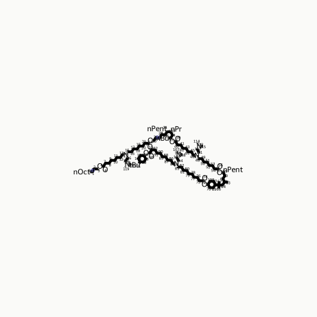 CCCCCCCC/C=C/COC(=O)CCCCCCCN(CCCCCCCC(=O)OC/C=C/CCC(CCCCC)C(CCC)CC(CCCC)OC(=O)CCCCCCCN(CCCCCCCC(=O)OC(CCCCC)CCC(C)CC(C)(C)C1CCC(OC(=O)CCCCCCCCCN(CCCCCCCCCC(=O)OC2CCC(C(C)(C)C)CC2)CCN(C)C)CC1)CCN(C)C)CCN(C)C